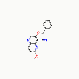 COc1ccc2ncc(OCc3ccccc3)c(C#N)c2n1